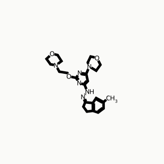 Cc1ccc2c(c1)/C(=N\Nc1cc(N3CCOCC3)nc(OCCN3CCOCC3)n1)CC2